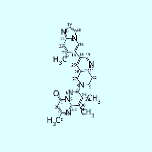 Cc1cc(=O)n2nc(N3CCc4ncc(-c5cn6ccnc6cc5C)cc4C3)c(C)c(C)c2n1